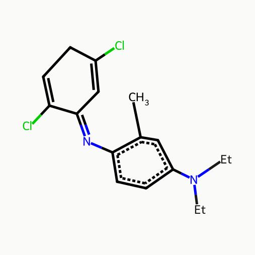 CCN(CC)c1ccc(N=C2C=C(Cl)CC=C2Cl)c(C)c1